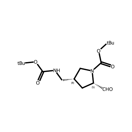 CC(C)(C)OC(=O)NC[C@H]1C[C@@H](C=O)N(C(=O)OC(C)(C)C)C1